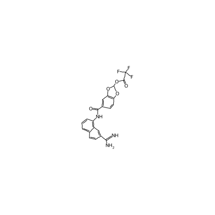 N=C(N)c1ccc2cccc(NC(=O)c3ccc4c(c3)OC(OC(=O)C(F)(F)F)O4)c2c1